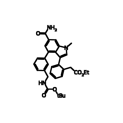 CCOC(=O)Cc1ccccc1-c1cn(C)c2cc(C(N)=O)cc(-c3cccc(CNC(=O)OC(C)(C)C)c3)c12